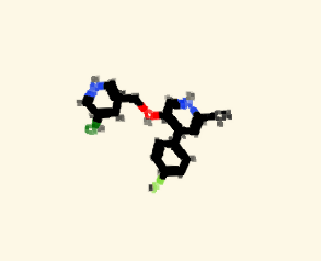 N#Cc1cc(-c2ccc(F)cc2)c(OCc2cncc(Cl)c2)cn1